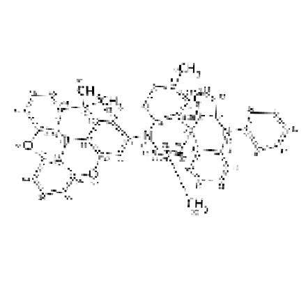 Cc1ccc2c(c1)C1(c3ccccc3N(c3ccccc3)c3ccccc31)c1cc(C)ccc1N2c1cc2c3c(c1)C(C)(C)c1cccc4c1B3c1c(cccc1O2)O4